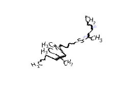 C=C/C=C\C=C(/C)SSCCCCN(C)CC(C)(C)CCCC=C